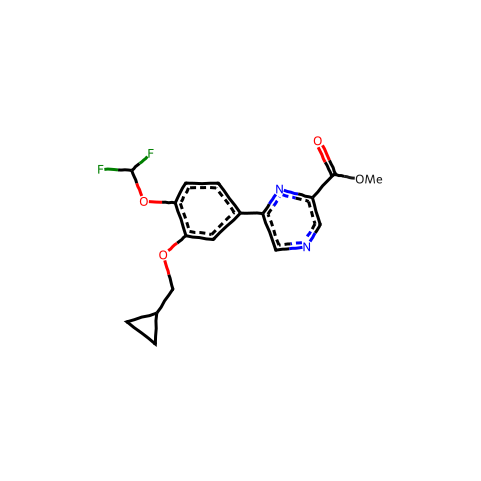 COC(=O)c1cncc(-c2ccc(OC(F)F)c(OCC3CC3)c2)n1